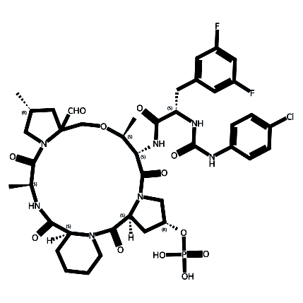 C[C@H]1CN2C(=O)[C@H](C)NC(=O)[C@@H]3CCCCN3C(=O)[C@@H]3C[C@@H](OP(=O)(O)O)CN3C(=O)[C@@H](NC(=O)[C@H](Cc3cc(F)cc(F)c3)NC(=O)Nc3ccc(Cl)cc3)[C@H](C)OCC2(C=O)C1